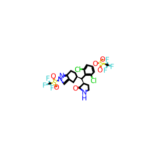 O=C1NCC[C@@H]1C(c1c(Cl)cc(OS(=O)(=O)C(F)(F)F)cc1Cl)[C@@H]1CCc2nn(S(=O)(=O)C(F)(F)F)cc2C1